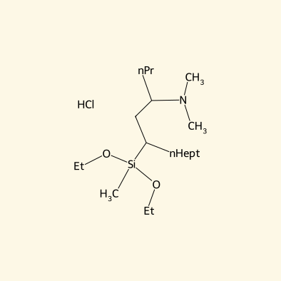 CCCCCCCC(CC(CCC)N(C)C)[Si](C)(OCC)OCC.Cl